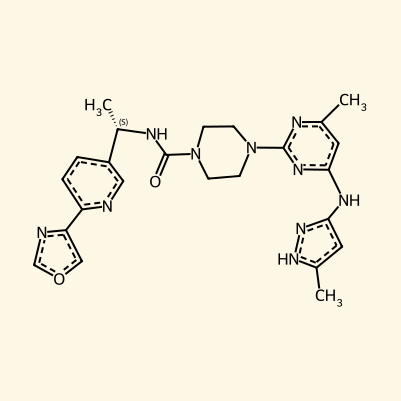 Cc1cc(Nc2cc(C)[nH]n2)nc(N2CCN(C(=O)N[C@@H](C)c3ccc(-c4cocn4)nc3)CC2)n1